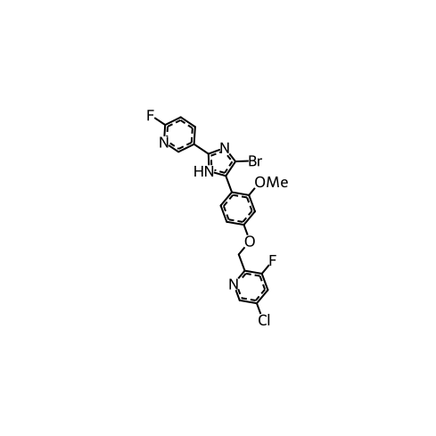 COc1cc(OCc2ncc(Cl)cc2F)ccc1-c1[nH]c(-c2ccc(F)nc2)nc1Br